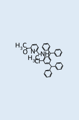 CC(=O)c1cccc(C(C)Nc2c(Cl)cc(C(c3ccccc3)c3ccccc3)cc2C(c2ccccc2)c2ccccc2)n1